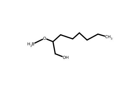 BOC(CO)CCCCCC